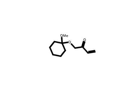 C=CC(=O)COC1(OC)CCCCC1